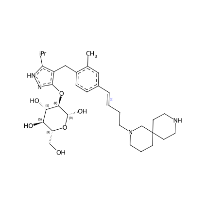 Cc1cc(/C=C/CCN2CCCC3(CCNCC3)C2)ccc1Cc1c(O[C@@H]2[C@@H](O)[C@H](O)[C@@H](CO)O[C@H]2O)n[nH]c1C(C)C